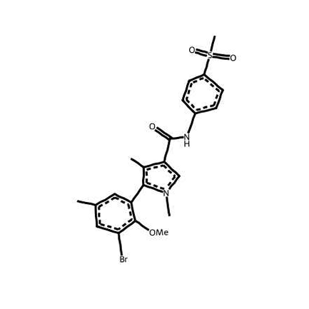 COc1c(Br)cc(C)cc1-c1c(C)c(C(=O)Nc2ccc(S(C)(=O)=O)cc2)cn1C